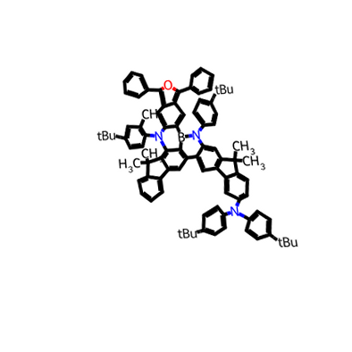 Cc1cc(C(C)(C)C)ccc1N1c2cc3c(-c4ccccc4)oc(-c4ccccc4)c3cc2B2c3c(cc4c(c31)C(C)(C)c1ccccc1-4)-c1cc3c(cc1N2c1ccc(C(C)(C)C)cc1)C(C)(C)c1ccc(N(c2ccc(C(C)(C)C)cc2)c2ccc(C(C)(C)C)cc2)cc1-3